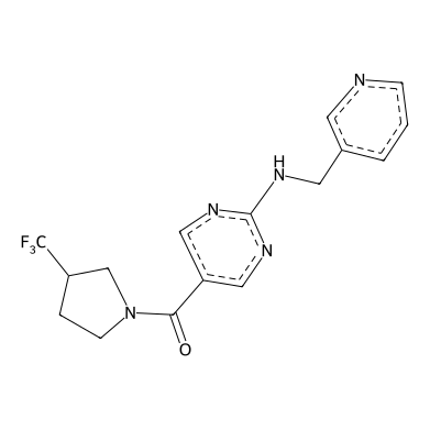 O=C(c1cnc(NCc2cccnc2)nc1)N1CCC(C(F)(F)F)C1